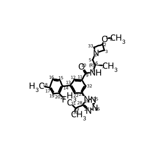 COC1CN(C[C@@H](C)NC(=O)c2cc(-c3ccc(C)cc3F)cc(-n3nnnc3C(C)C)c2)C1